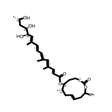 CC(=C\C=C\C(C)=C\[C@@H](O)[C@@H](O)C[C@H](C)O)/C=C(C)/C=C/C(=O)O[C@H]1CCCC(=O)OC(C(C)C)C/C=C/C[C@@H]1C